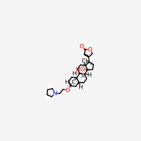 C[C@]12CC[C@H](OCCN3CCCC3)C[C@H]1CC[C@@H]1[C@@H]2CC[C@]2(C)[C@@H](C3=CC(=O)OC3)CC[C@]12O